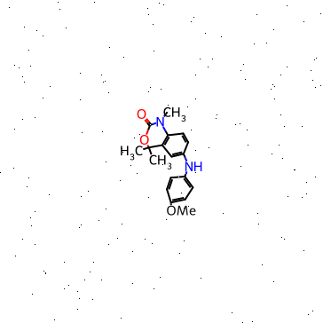 COc1ccc(Nc2ccc3c(c2)C(C)(C)OC(=O)N3C)cc1